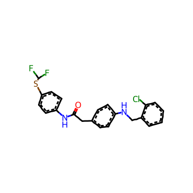 O=C(Cc1ccc(NCc2ccccc2Cl)cc1)Nc1ccc(SC(F)F)cc1